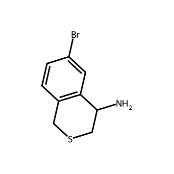 NC1CSCc2ccc(Br)cc21